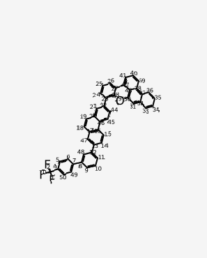 FC(F)(F)c1ccc(-c2cccc(-c3ccc4c(ccc5cc(-c6cccc7c6Oc6cc8ccccc8c8cccc-7c68)ccc54)c3)c2)cc1